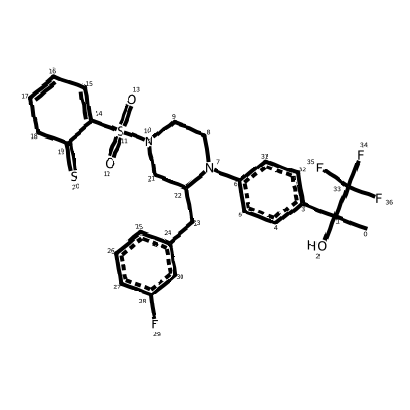 CC(O)(c1ccc(N2CCN(S(=O)(=O)C3=CC=CCC3=S)CC2Cc2cccc(F)c2)cc1)C(F)(F)F